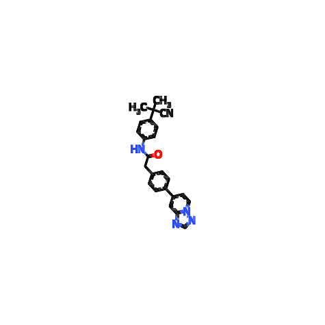 CC(C)(C#N)c1ccc(NC(=O)Cc2ccc(-c3ccn4ncnc4c3)cc2)cc1